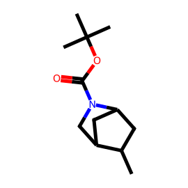 CC1CC2CC1CN2C(=O)OC(C)(C)C